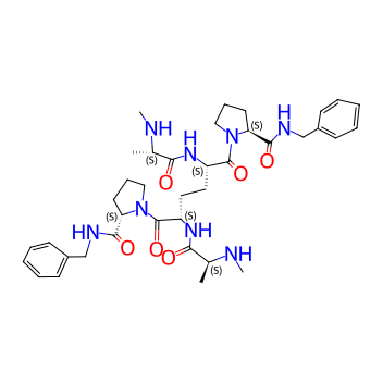 CN[C@@H](C)C(=O)N[C@@H](CC[C@H](NC(=O)[C@H](C)NC)C(=O)N1CCC[C@H]1C(=O)NCc1ccccc1)C(=O)N1CCC[C@H]1C(=O)NCc1ccccc1